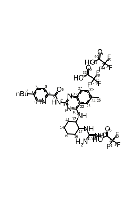 CCCCc1ccc(C(=O)Nc2nc(NC3CCCCC3NC(=N)N)c3cc(C)ccc3n2)nc1.O=C(O)C(F)(F)F.O=C(O)C(F)(F)F.O=C(O)C(F)(F)F